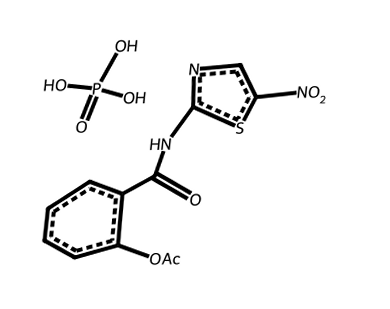 CC(=O)Oc1ccccc1C(=O)Nc1ncc([N+](=O)[O-])s1.O=P(O)(O)O